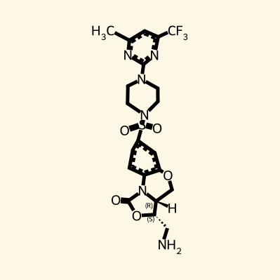 Cc1cc(C(F)(F)F)nc(N2CCN(S(=O)(=O)c3ccc4c(c3)OC[C@@H]3[C@H](CN)OC(=O)N43)CC2)n1